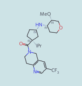 CO[C@@H]1COCC[C@@H]1N[C@H]1CC[C@@](C(=O)N2CCc3ncc(C(F)(F)F)cc3C2)(C(C)C)C1